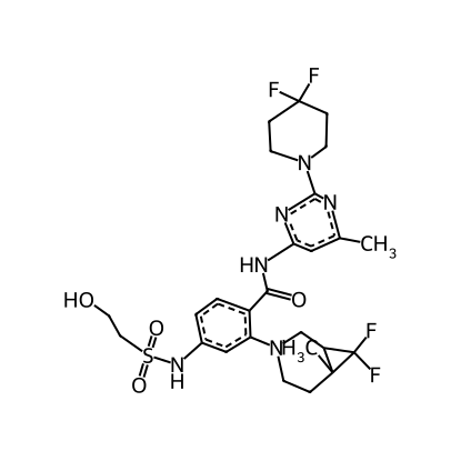 Cc1cc(NC(=O)c2ccc(NS(=O)(=O)CCO)cc2N2CCC3(C)C(C2)C3(F)F)nc(N2CCC(F)(F)CC2)n1